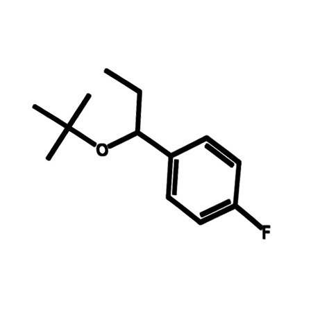 CCC(OC(C)(C)C)c1ccc(F)cc1